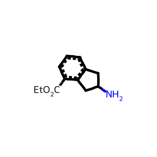 CCOC(=O)c1cccc2c1CC(N)C2